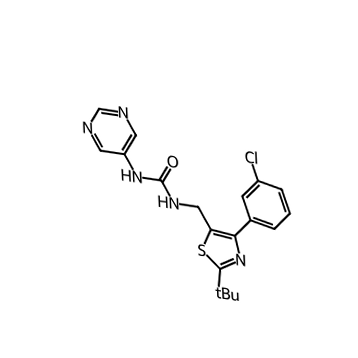 CC(C)(C)c1nc(-c2cccc(Cl)c2)c(CNC(=O)Nc2cncnc2)s1